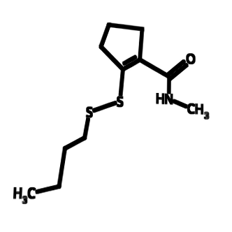 CCCCSSC1=C(C(=O)NC)CCC1